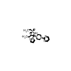 [CH2]CCC(NS(=O)(=O)CC)(N1CCN(c2ncccn2)CC1)n1cccn1